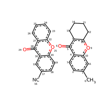 Cc1ccc2c(=O)c3c(oc2c1)CCCC3.N#Cc1ccc2oc3ccccc3c(=O)c2c1